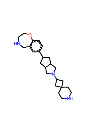 c1cc2c(cc1C1CC3CN(C4CC5(CCNCC5)C4)CC3C1)CNCCO2